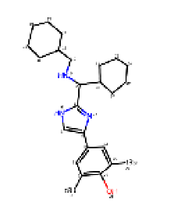 CC(C)(C)c1cc(-c2c[nH]c(C(NCC3CCCCC3)C3CCCCC3)n2)cc(C(C)(C)C)c1O